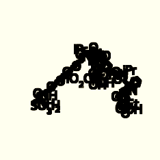 CC[C@@]1(O)C(=O)OCc2c1cc1n(c2=O)Cc2c-1nc1ccccc1c2CCN(C(=O)OCc1ccc(NC(=O)[C@H](C)NC(=O)[C@@H](NC(=O)CCOCCOCCOCCOCCNC(=O)[C@@H](N)CS(=O)(=O)O)C(C)C)c(O[C@@H]2O[C@H](C(=O)O)[C@@H](O)[C@H](O)[C@H]2O)c1)C(C)C